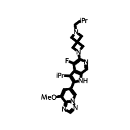 COc1cc(-c2[nH]c3cnc(N4CC5(CN(CC(C)C)C5)C4)c(F)c3c2C(C)C)cn2ncnc12